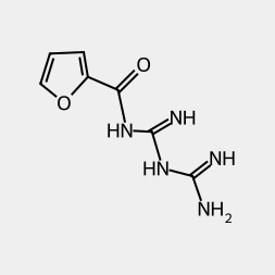 N=C(N)NC(=N)NC(=O)c1ccco1